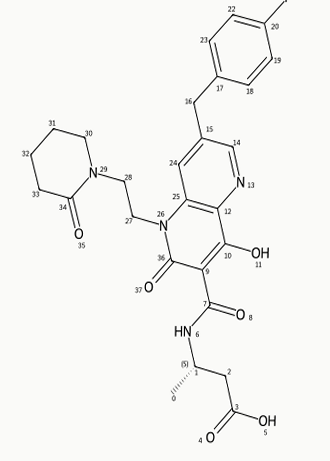 C[C@@H](CC(=O)O)NC(=O)c1c(O)c2ncc(Cc3ccc(F)cc3)cc2n(CCN2CCCCC2=O)c1=O